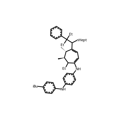 CCCCCCCC(C1=CC=C(Nc2ccc(Nc3ccc(C(C)CC)cc3)cc2)C(CC)[C@@H](C)[C@@H]1C)C(CC)(CC)c1ccccc1